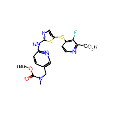 CN(Cc1ccc(Nc2ncc(Sc3ccnc(C(=O)O)c3F)s2)nc1)C(=O)OC(C)(C)C